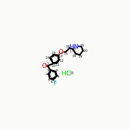 Cl.O=C(c1ccc(F)cc1)c1ccc(OCCC2CCCCN2)cc1